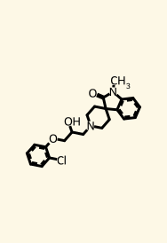 CN1C(=O)C2(CCN(CC(O)COc3ccccc3Cl)CC2)c2ccccc21